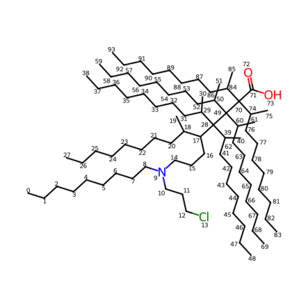 CCCCCCCCCN(CCCCl)CCCC(C(C)CCCCCCCC)C(C(C)CCCCCCCC)(C(C)CCCCCCCC)C(C(C)CCCCCCCC)(C(C)CCCCCCCC)C(C(=O)O)(C(C)CCCCCCCC)C(C)CCCCCCCC